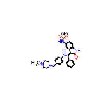 CCCS(=O)(=O)Nc1ccc2c(c1)C(=C(Nc1ccc(CN3CCN(C)CC3)cc1)c1ccccc1)C(=O)N2